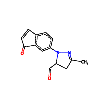 CC1=NN(c2ccc3c(c2)C(=O)C=C3)C(C=O)C1